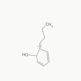 CCC/C=C1\C=CC=CC1O